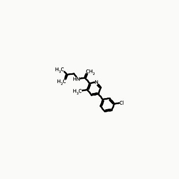 C=C(C)CNC(=C)c1ncc(-c2cccc(Cl)c2)cc1C